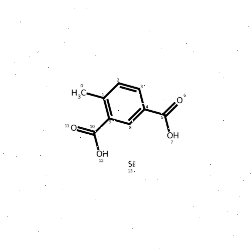 Cc1ccc(C(=O)O)cc1C(=O)O.[Si]